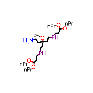 CCCOC(CCPCCC(CCN)(CCPCCC(OCCC)OCCC)OC(C)C)OCCC